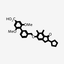 COc1cc(C(=O)O)cc(OC)c1-c1cccc(COc2cc3c(c(C)c2C)C(=O)C(C2CCCC2)C3)c1